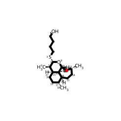 C[C@H]1[C@H](SCCCCO)O[C@@H]2O[C@]3(C)CC[C@H]4[C@H](C)CC[C@@H]1[C@@]24OO3